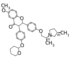 COc1ccc2c(c1)C(=O)C(c1ccc(OC3CCCCO3)cc1)C(c1ccc(OC[C@H](C)N3CC[C@@H](C)C3)cc1)O2